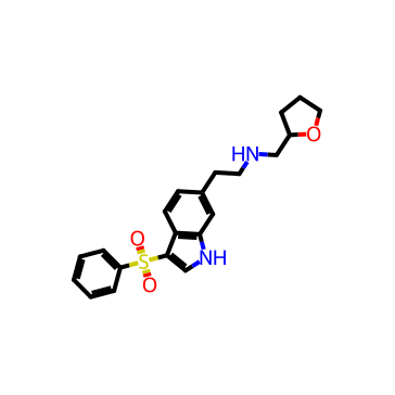 O=S(=O)(c1ccccc1)c1c[nH]c2cc(CCNCC3CCCO3)ccc12